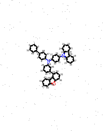 c1ccc(-c2ccc(N(c3ccc(-n4c5ccccc5c5ccccc54)cc3)c3cccc(-c4cccc5oc6ccccc6c45)c3)cc2)cc1